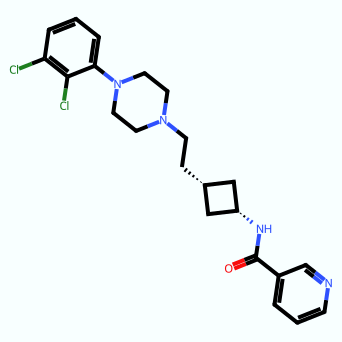 O=C(N[C@H]1C[C@@H](CCN2CCN(c3cccc(Cl)c3Cl)CC2)C1)c1cccnc1